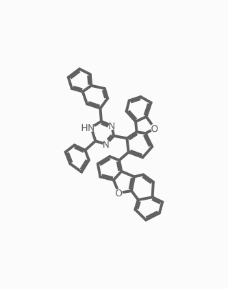 c1ccc(C2N=C(c3c(-c4cccc5oc6c7ccccc7ccc6c45)ccc4oc5ccccc5c34)N=C(c3ccc4ccccc4c3)N2)cc1